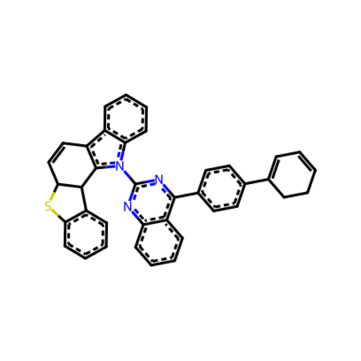 C1=CCCC(c2ccc(-c3nc(-n4c5c(c6ccccc64)C=CC4Sc6ccccc6C54)nc4ccccc34)cc2)=C1